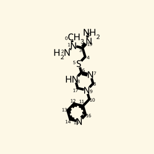 CN(N)/C(CSC1=NCN(Cc2cccnc2)CN1)=N\N